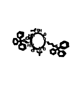 CC(C)C[C@H]1NC(=O)C[C@@H](/C=C/CCSC(c2ccccc2)(c2ccccc2)c2ccccc2)OC(=O)C[C@H](O)[C@@H](C(C)C)NC(=O)[C@@H](CSC(c2ccccc2)(c2ccccc2)c2ccccc2)NC1=O